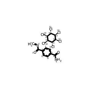 C=NC(=O)c1ccc(C(N)=O)cc1.Cl[C@H]1[C@H](Cl)[C@@H](Cl)[C@@H](Cl)[C@H](Cl)[C@H]1Cl